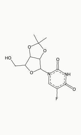 CC1(C)OC2C(CO)OC(n3cc(F)c(=O)[nH]c3=O)C2O1